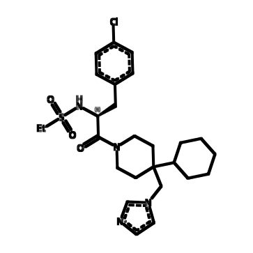 CCS(=O)(=O)N[C@@H](Cc1ccc(Cl)cc1)C(=O)N1CCC(Cn2ccnc2)(C2CCCCC2)CC1